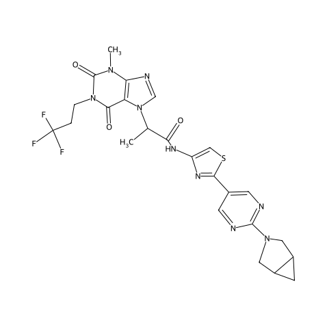 CC(C(=O)Nc1csc(-c2cnc(N3CC4CC4C3)nc2)n1)n1cnc2c1c(=O)n(CCC(F)(F)F)c(=O)n2C